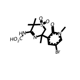 Cn1cc(Br)cc(C2(C)CS(=O)(=O)C(C)(C)C(NC(=O)O)=N2)c1=O